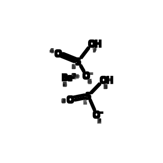 O=S([O-])O.O=S([O-])O.[Be+2]